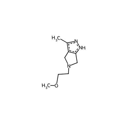 COCCN1Cc2[nH]nc(C)c2C1